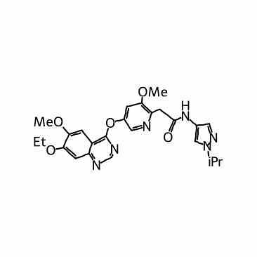 CCOc1cc2ncnc(Oc3cnc(CC(=O)Nc4cnn(C(C)C)c4)c(OC)c3)c2cc1OC